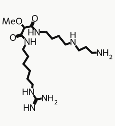 COC(C(=O)NCCCCCCNC(=N)N)C(=O)NCCCCNCCCN